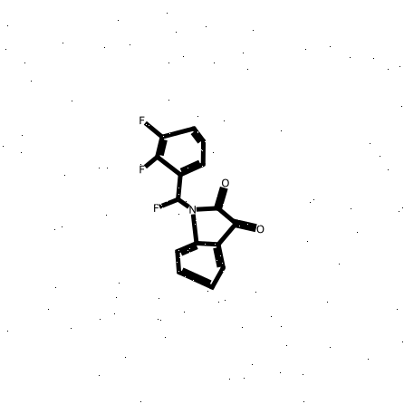 O=C1C(=O)N(C(F)c2cccc(F)c2F)c2ccccc21